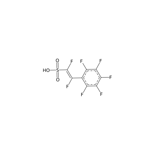 O=S(=O)(O)C(F)=C(F)c1c(F)c(F)c(F)c(F)c1F